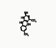 Cc1ccc(Nc2nc(C(Cl)(Cl)Cl)nc(=N)[nH]2)c(O)c1